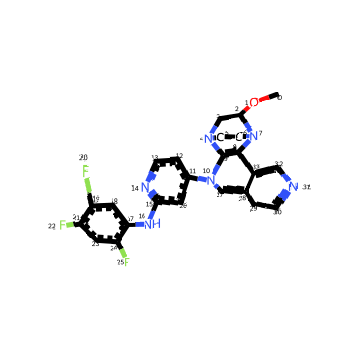 COC1CN2CCN1C1=C2N(c2ccnc(Nc3cc(F)c(F)cc3F)c2)C=C2CC=NC=C21